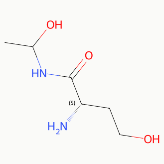 CC(O)NC(=O)[C@@H](N)CCO